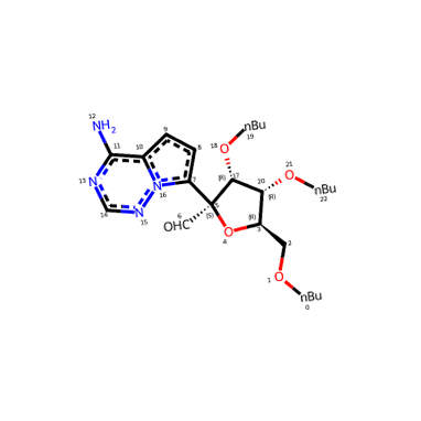 CCCCOC[C@H]1O[C@@](C=O)(c2ccc3c(N)ncnn23)[C@H](OCCCC)[C@@H]1OCCCC